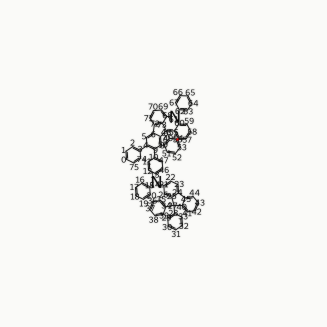 c1ccc(-c2cc3c(cc2-c2ccc(N(c4ccccc4)c4ccc5c(c4)C(c4ccccc4)(c4ccccc4)c4ccccc4-5)cc2)C2(c4ccccc4)c4ccccc4N(c4ccccc4)c4cccc-3c42)cc1